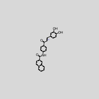 O=C(/C=C/c1ccc(O)c(O)c1)c1ccc(NC(=O)c2ccc3ccccc3c2)cc1